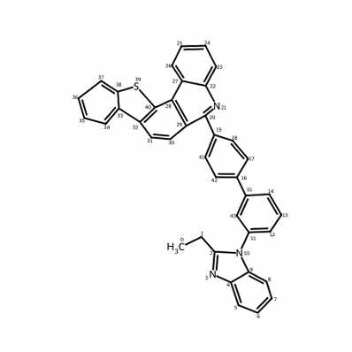 CCc1nc2ccccc2n1-c1cccc(-c2ccc(-c3nc4ccccc4c4c3ccc3c5ccccc5sc34)cc2)c1